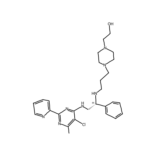 Cc1nc(-c2ccccn2)nc(NC[C@H](NCCCN2CCN(CCO)CC2)c2ccccc2)c1Cl